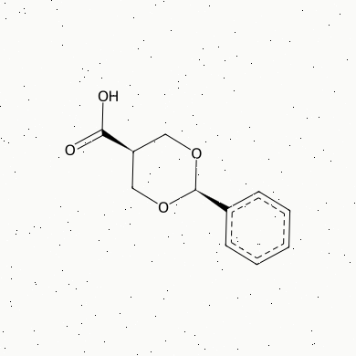 O=C(O)[C@H]1CO[C@@H](c2ccccc2)OC1